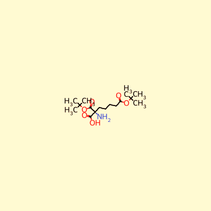 CC(C)(C)OC(=O)CCCC[C@](N)(C(=O)O)C(=O)OC(C)(C)C